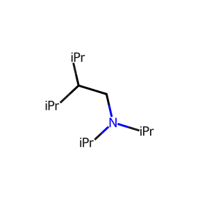 CC(C)C(CN(C(C)C)C(C)C)C(C)C